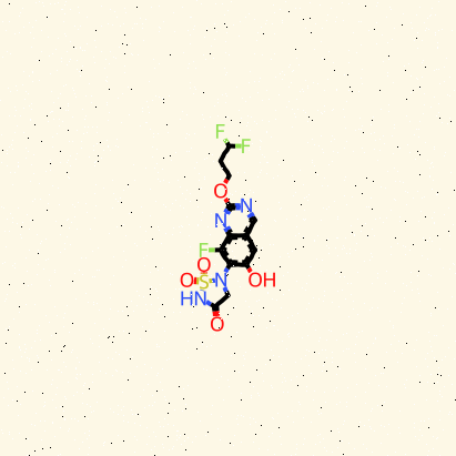 O=C1CN(c2c(O)cc3cnc(OCCC(F)F)nc3c2F)S(=O)(=O)N1